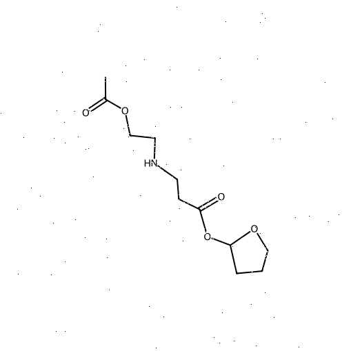 CC(=O)OCCNCCC(=O)OC1CCCO1